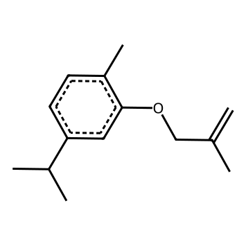 C=C(C)COc1cc(C(C)C)ccc1C